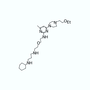 CCOCCN1CCN(c2cc(C)nc(NCCOCCNCCCNC3CCCCC3)n2)CC1